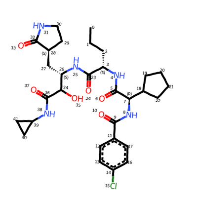 CCC[C@H](NC(=O)[C@H](NC(=O)c1ccc(Cl)cc1)C1CCCC1)C(=O)N[C@@H](C[C@@H]1CCNC1=O)C(O)C(=O)NC1CC1